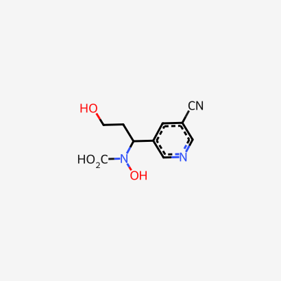 N#Cc1cncc(C(CCO)N(O)C(=O)O)c1